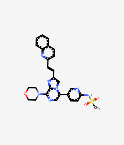 CS(=O)(=O)Nc1ccc(-c2cnc(N3CCOCC3)c3nc(/C=C/c4ccc5ccccc5n4)cn23)cn1